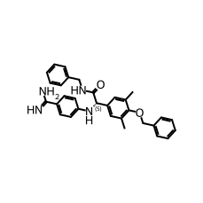 Cc1cc([C@H](Nc2ccc(C(=N)N)cc2)C(=O)NCc2ccccc2)cc(C)c1OCc1ccccc1